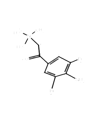 C[N+](C)(C)CC(=O)c1cc(Br)c(N)c(Br)c1